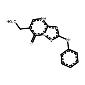 O=C(O)Cc1c[nH]c2nc(Nc3ccccc3)nn2c1=O